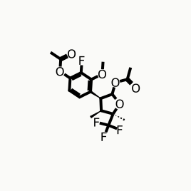 COc1c([C@H]2C(OC(C)=O)O[C@@](C)(C(F)(F)F)[C@H]2C)ccc(OC(C)=O)c1F